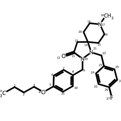 CCCCOc1ccc(CN2C(=O)CC3(CCN(C)CC3)N2Cc2ccc(F)cc2)cc1